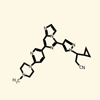 CN1CCN(c2ccc(-c3cc4nccn4c(-c4cnn(C(CC#N)C5CC5)c4)n3)cn2)CC1